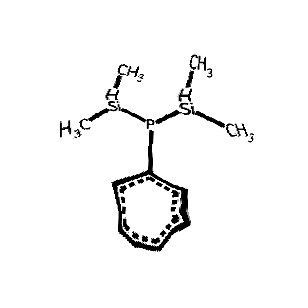 C[SiH](C)P(c1ccccc1)[SiH](C)C